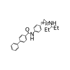 CCC(CC)N[C@@H]1C[C@H]1c1ccc(NC(=O)c2ccc(-c3ccccc3)cc2)cc1